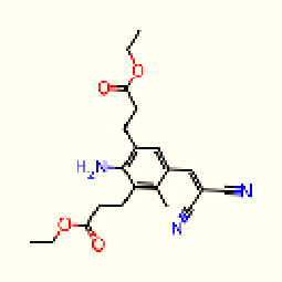 CCOC(=O)CCc1cc(C=C(C#N)C#N)c(C)c(CCC(=O)OCC)c1N